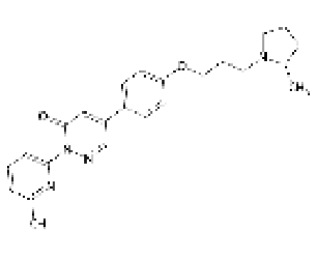 Cc1cccc(-n2ncc(-c3ccc(OCCCN4CCCC4C)cc3)cc2=O)n1